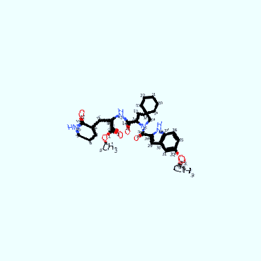 COC(=O)C(CC1CCCNC1=O)NC(=O)C1CC2(CCCCC2)CN1C(=O)c1cc2cc(OC)ccc2[nH]1